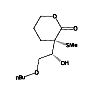 CCCCOC[C@@H](O)[C@@]1(SC)CCCOC1=O